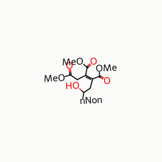 CCCCCCCCCC(O)CC(C(=O)OC)=C(CC(=O)OC)C(=O)OC